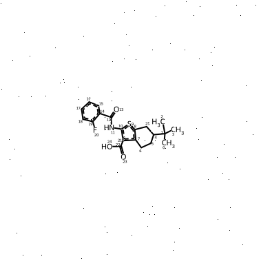 CC(C)(C)C1CCc2c(sc(NC(=O)c3ccccc3F)c2C(=O)O)C1